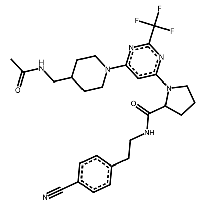 CC(=O)NCC1CCN(c2cc(N3CCCC3C(=O)NCCc3ccc(C#N)cc3)nc(C(F)(F)F)n2)CC1